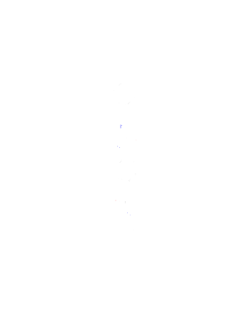 O=C(NCc1ccc(Cl)cc1)Nc1ccc(CC(=O)N2CC(CO)C2)cc1